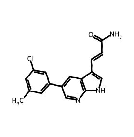 Cc1cc(Cl)cc(-c2cnc3[nH]cc(/C=C/C(N)=O)c3c2)c1